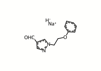 O=Cc1cnn(CCOc2ccccc2)c1.[H-].[Na+]